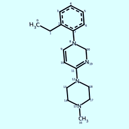 CCc1ccccc1N1C=CC(N2CCN(C)CC2)=NC1